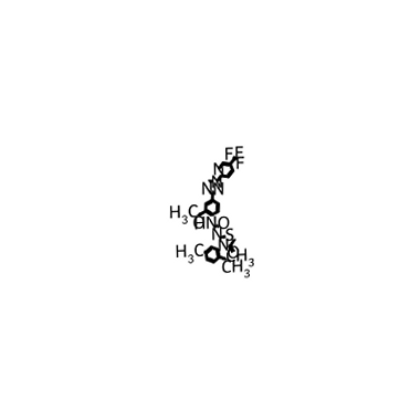 CC(=O)c1cc(-c2ncn(-c3ccc(C(F)(F)F)cn3)n2)ccc1NC(=O)N=C1SCC(=O)N1c1cc(C)ccc1C(C)C